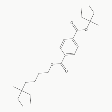 CCC(C)(CC)CCCCOC(=O)c1ccc(C(=O)OC(C)(CC)CC)cc1